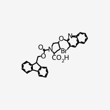 O=C(O)C1CC(Oc2nc3ccccc3cc2Br)CN1C(=O)OCC1c2ccccc2-c2ccccc21